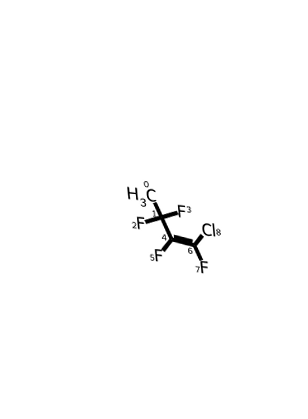 CC(F)(F)C(F)=C(F)Cl